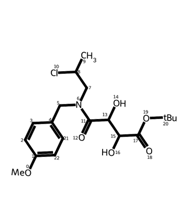 COc1ccc(CN(CC(C)Cl)C(=O)C(O)C(O)C(=O)OC(C)(C)C)cc1